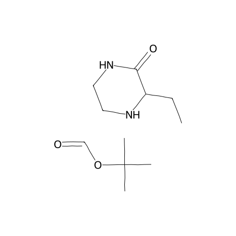 CC(C)(C)OC=O.CCC1NCCNC1=O